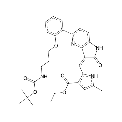 CCOC(=O)c1cc(C)[nH]c1/C=C1\C(=O)Nc2ccc(-c3ccccc3OCCCNC(=O)OC(C)(C)C)nc21